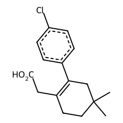 CC1(C)CCC(CC(=O)O)=C(c2ccc(Cl)cc2)C1